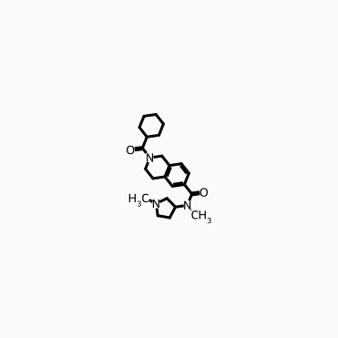 CN1CCC(N(C)C(=O)c2ccc3c(c2)CCN(C(=O)C2CCCCC2)C3)C1